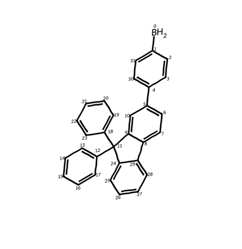 Bc1ccc(-c2ccc3c(c2)C(c2ccccc2)(c2ccccc2)c2ccccc2-3)cc1